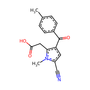 Cc1ccc(C(=O)c2cc(C#N)n(C)c2CC(=O)O)cc1